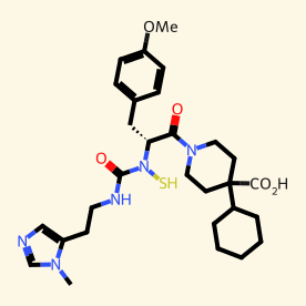 COc1ccc(C[C@H](C(=O)N2CCC(C(=O)O)(C3CCCCC3)CC2)N(S)C(=O)NCCc2cncn2C)cc1